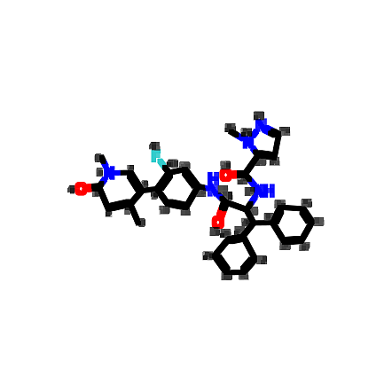 Cc1cc(=O)n(C)cc1-c1ccc(NC(=O)C(NC(=O)c2ccnn2C)C(c2ccccc2)c2ccccc2)cc1F